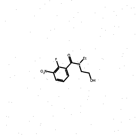 CCN(CCO)C(=O)c1cccc([N+](=O)[O-])c1F